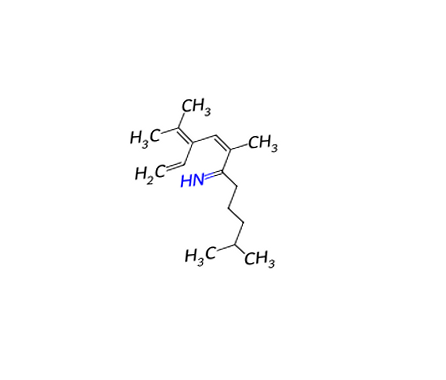 C=CC(/C=C(/C)C(=N)CCCC(C)C)=C(C)C